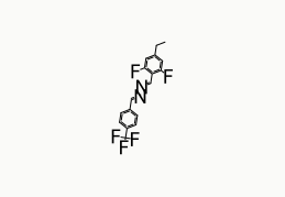 CCc1cc(F)c(/C=N/N=C/c2ccc(C(F)(F)F)cc2)c(F)c1